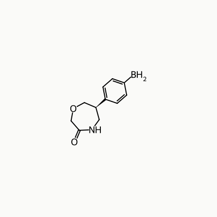 Bc1ccc([C@H]2CNC(=O)COC2)cc1